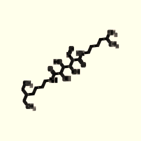 CCC(CC)CCCCNC(=O)C(O)C(O)C(O)C(N=O)C(=O)NCCCCC(C)C